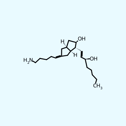 CCCCC[C@H](O)C=C[C@@H]1[C@H]2CC(=CCCCCN)C[C@H]2C[C@H]1O